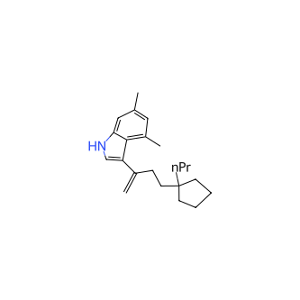 C=C(CCC1(CCC)CCCC1)c1c[nH]c2cc(C)cc(C)c12